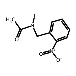 CC(=O)N(I)Cc1ccccc1[N+](=O)[O-]